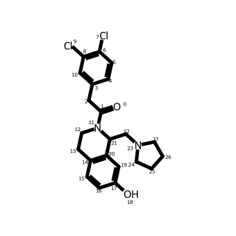 O=C(Cc1ccc(Cl)c(Cl)c1)N1CCc2ccc(O)cc2C1CN1CCCC1